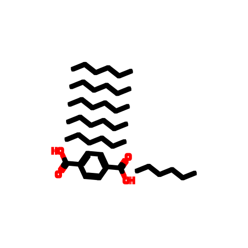 CCCCCC.CCCCCC.CCCCCC.CCCCCC.CCCCCC.CCCCCC.O=C(O)c1ccc(C(=O)O)cc1